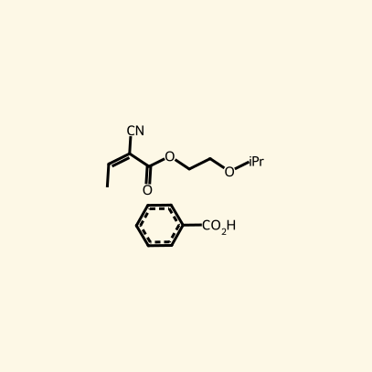 CC=C(C#N)C(=O)OCCOC(C)C.O=C(O)c1ccccc1